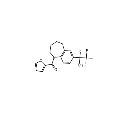 O=C(c1ccco1)N1CCCCc2cc(C(O)(F)C(F)(F)F)ccc21